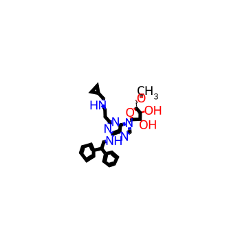 COC[C@H]1O[C@@H](n2cnc3c(NCC(c4ccccc4)c4ccccc4)nc(CCNCC4CC4)nc32)[C@H](O)[C@@H]1O